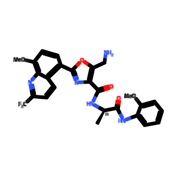 COc1ccccc1NC(=O)[C@@H](C)NC(=O)c1nc(-c2ccc(OC)c3nc(C(F)(F)F)ccc23)oc1CN